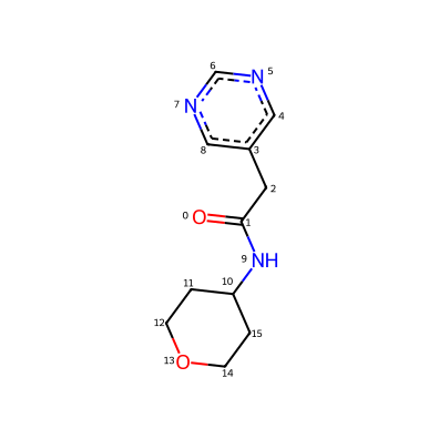 O=C(Cc1cncnc1)NC1CCOCC1